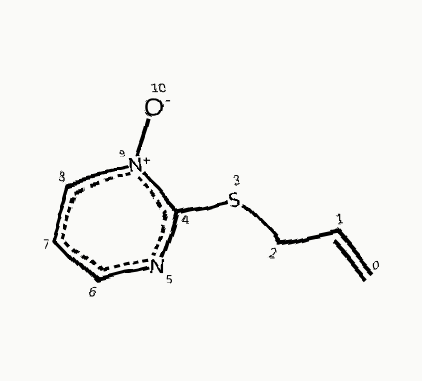 C=CCSc1nccc[n+]1[O-]